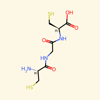 N[C@@H](CS)C(=O)NCC(=O)N[C@@H](CS)C(=O)O